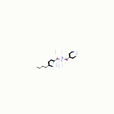 CCCCc1ccc(C(=O)NNC(=O)c2ccnc(F)c2)nc1.Cl